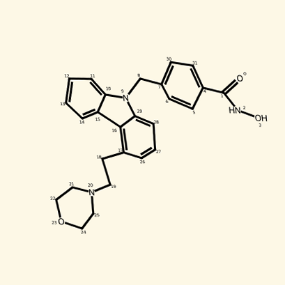 O=C(NO)c1ccc(Cn2c3ccccc3c3c(CCN4CCOCC4)cccc32)cc1